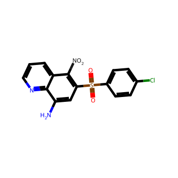 Nc1cc(S(=O)(=O)c2ccc(Cl)cc2)c([N+](=O)[O-])c2cccnc12